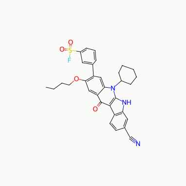 CCCCOc1cc2c(=O)c3c4ccc(C#N)cc4[nH]c3n(C3CCCCC3)c2cc1-c1cccc(S(=O)(=O)F)c1